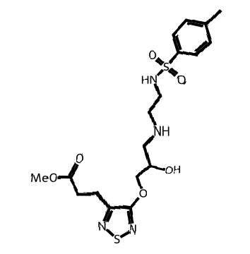 COC(=O)CCc1nsnc1OCC(O)CNCCNS(=O)(=O)c1ccc(C)cc1